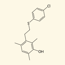 Cc1cc(C)c(CCSc2ccc(Cl)cc2)c(C)c1O